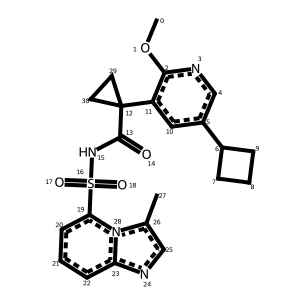 COc1ncc(C2CCC2)cc1C1(C(=O)NS(=O)(=O)c2cccc3ncc(C)n23)CC1